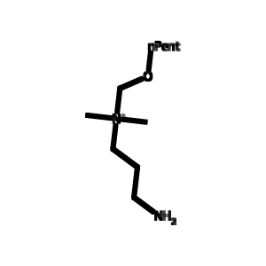 CCCCCOC[N+](C)(C)CCCN